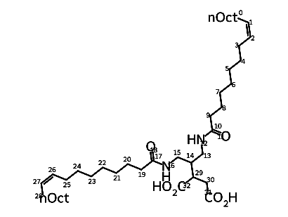 CCCCCCCC/C=C\CCCCCCCC(=O)NCC(CNC(=O)CCCCCCC/C=C\CCCCCCCC)C(CC(=O)O)C(=O)O